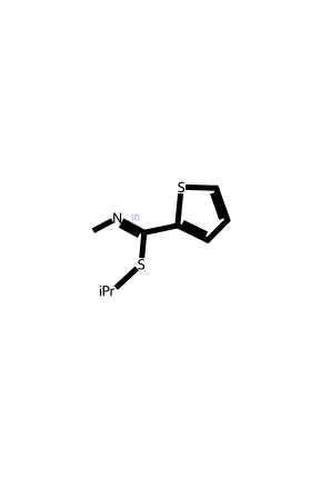 C/N=C(\SC(C)C)c1cccs1